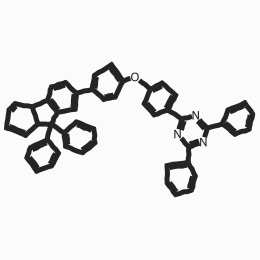 C1=CC2c3ccc(-c4ccc(Oc5ccc(-c6nc(-c7ccccc7)nc(-c7ccccc7)n6)cc5)cc4)cc3C(c3ccccc3)(c3ccccc3)C2C=C1